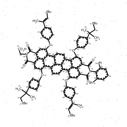 C/C(=C\C(C)(C)C)c1ccc(Oc2cc3c4c(cc(Oc5ccc(C(C)(C)CC(C)(C)C)cc5)c5c6ccc7c8c(Oc9ccc(/C(C)=C/C(C)(C)C)cc9)cc9c%10c(cc(Oc%11ccc(C(C)(C)CC(C)(C)C)cc%11)c(c%11ccc(c2c45)c6c7%11)c%108)C(=O)N(c2c(C(C)C)cccc2C(C)C)C9=O)C(=O)N(CC(=O)O)C3=O)cc1